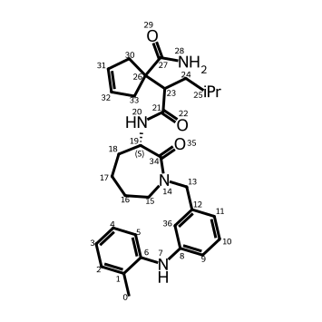 Cc1ccccc1Nc1cccc(CN2CCCC[C@H](NC(=O)C(CC(C)C)C3(C(N)=O)CC=CC3)C2=O)c1